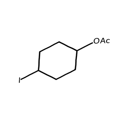 CC(=O)OC1CCC(I)CC1